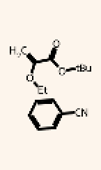 C=C(OCC)C(=O)OC(C)(C)C.N#Cc1ccccc1